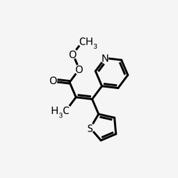 COOC(=O)C(C)=C(c1cccnc1)c1cccs1